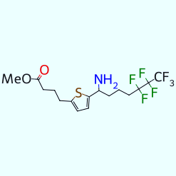 COC(=O)CCCc1ccc(C(N)CCCC(F)(F)C(F)(F)C(F)(F)F)s1